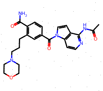 CC(=O)Nc1nccc2c1ccn2C(=O)c1ccc(C(N)=O)c(CCCN2CCOCC2)c1